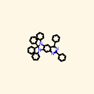 c1ccc(-c2nc(-c3ccccc3)c3cc4c(cc3n2)N(c2ccccc2)C(c2ccccc2)(c2ccccc2)N4c2ccccc2)cc1